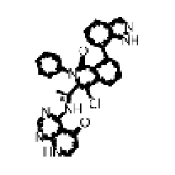 C[C@H](Nc1ncnc2[nH]ccc(=O)c12)c1c(Cl)c2cccc(-c3cccc4cn[nH]c34)c2c(=O)n1-c1ccccc1